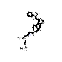 COCCN(C)C/C=C/C(=O)N1CCc2c(sc3ncnc(N[C@H](CO)c4ccccc4)c23)C1